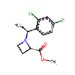 COC(=O)C1CCN1[C@@H](C)c1ccc(Cl)cc1Cl